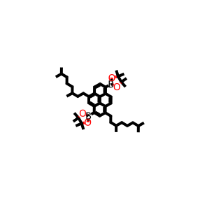 CC(C)CCCC(C)CCc1cc2c(B3OC(C)(C)C(C)(C)O3)cc(CCC(C)CCCC(C)C)c3ccc4c(B5OC(C)(C)C(C)(C)O5)ccc1c4c32